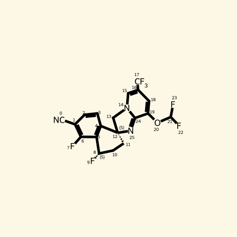 N#Cc1ccc2c(c1F)[C@@H](F)CC[C@@]21CN2C=C(C(F)(F)F)C=C(OC(F)F)C2=N1